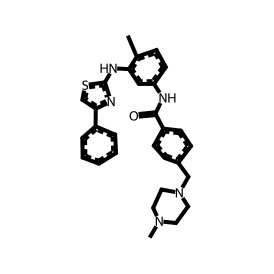 Cc1ccc(NC(=O)c2ccc(CN3CCN(C)CC3)cc2)cc1Nc1nc(-c2ccccc2)cs1